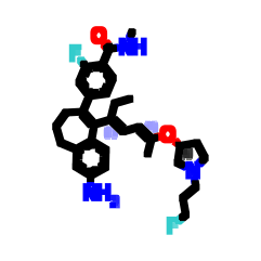 CC/C(=C\C=C(/C)O[C@H]1CCN(CCCF)C1)C1=C(c2ccc(C(=O)NC)c(F)c2)CCCc2cc(N)ccc21